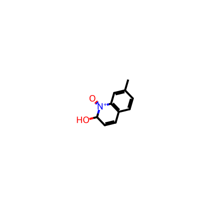 Cc1ccc2c(c1)[N+](=O)C(O)C=C2